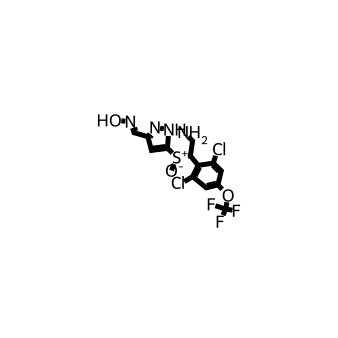 NCC(c1c(Cl)cc(OC(F)(F)F)cc1Cl)[S+]([O-])c1cc(C=NO)n[nH]1